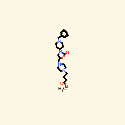 COC(=O)CCCN1CCN(CC2CN(C3CCN(Cc4ccccc4)CC3)C(=O)O2)CC1